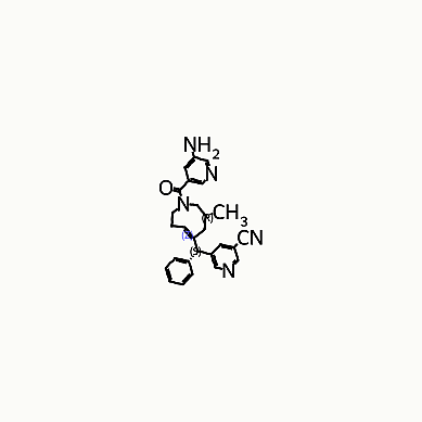 C[C@@H]1C/C([C@@H](c2ccccc2)c2cncc(C#N)c2)=C/CCN(C(=O)c2cncc(N)c2)C1